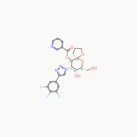 O=C(O[C@@H]1[C@@H](n2cc(-c3cc(F)c(F)c(F)c3)nn2)[C@@H](O)[C@@H](CO)O[C@@]12CCCO2)c1cccnc1